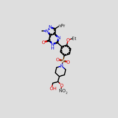 CCCc1nn(C)c2c(=O)[nH]c(-c3cc(S(=O)(=O)N4CCC(C(CO)O[N+](=O)[O-])CC4)ccc3OCC)nc12